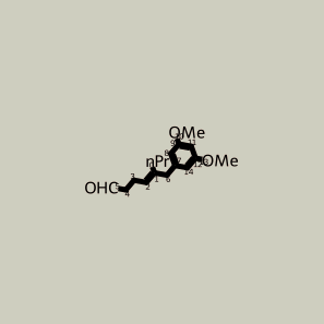 CCC/C(=C\CCC=O)Cc1cc(OC)cc(OC)c1